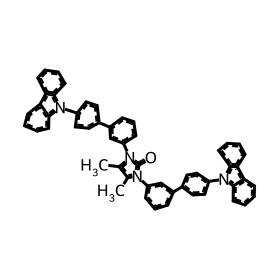 Cc1c(C)n(-c2cccc(-c3ccc(-n4c5ccccc5c5ccccc54)cc3)c2)c(=O)n1-c1cccc(-c2ccc(-n3c4ccccc4c4ccccc43)cc2)c1